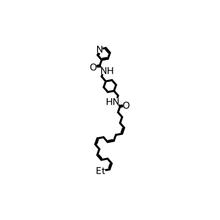 CC/C=C\C/C=C\C/C=C\C/C=C\C/C=C\CCCC(=O)NCC1CCC(CNC(=O)c2cccnc2)CC1